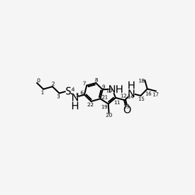 CCCCSNc1ccc2[nH]c(C(=O)NCC(C)C)c(C)c2c1